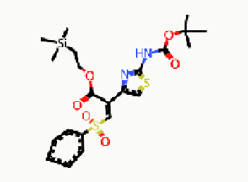 CC(C)(C)OC(=O)Nc1nc(C(=CS(=O)(=O)c2ccccc2)C(=O)OCC[Si](C)(C)C)cs1